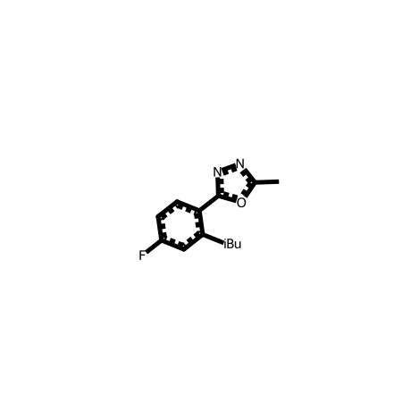 CCC(C)c1cc(F)ccc1-c1nnc(C)o1